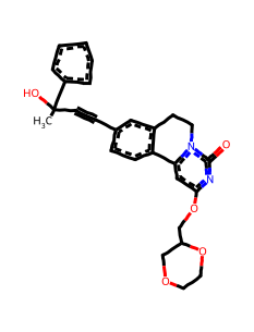 CC(O)(C#Cc1ccc2c(c1)CCn1c-2cc(OCC2COCCO2)nc1=O)c1ccccc1